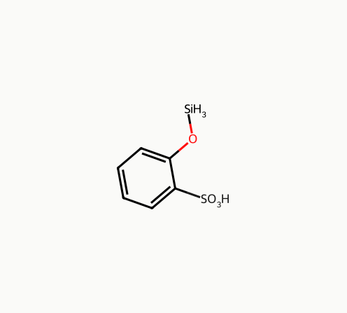 O=S(=O)(O)c1ccccc1O[SiH3]